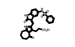 CCOC(=O)CCc1c(/C=C2\C(=O)Nc3ccc(NS(=O)(=O)c4ccccc4)cc32)[nH]c2c1C(=O)CCCC2